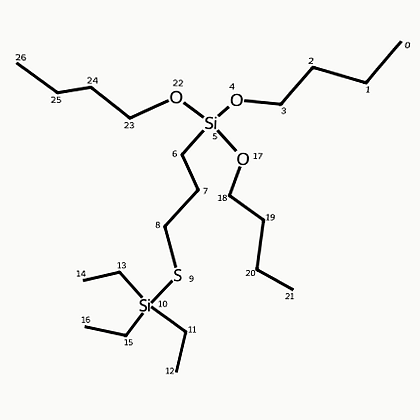 CCCCO[Si](CCCS[Si](CC)(CC)CC)(OCCCC)OCCCC